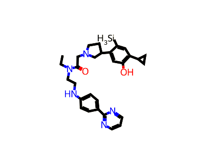 CCN(CCNc1ccc(-c2ncccn2)cc1)C(=O)CN1CCC(c2cc(O)c(C3CC3)cc2[SiH3])C1